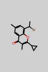 Cc1cc(C(C)Br)c2oc(C3CC3)c(C)c(=O)c2c1